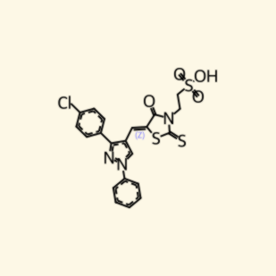 O=C1/C(=C/c2cn(-c3ccccc3)nc2-c2ccc(Cl)cc2)SC(=S)N1CCS(=O)(=O)O